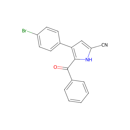 N#Cc1cc(-c2ccc(Br)cc2)c(C(=O)c2ccccc2)[nH]1